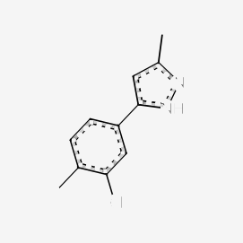 Cc1cc(-c2ccc(C)c(Cl)c2)[nH]n1